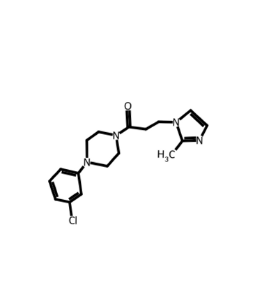 Cc1nccn1CCC(=O)N1CCN(c2cccc(Cl)c2)CC1